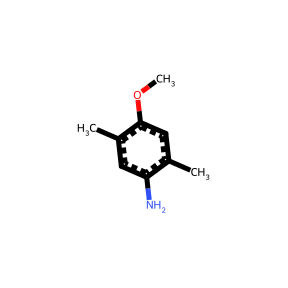 COc1cc(C)c(N)cc1C